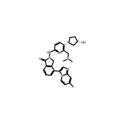 CN(C)Cc1nc(NN2Cc3c(cccc3-c3cnc4cc(F)ccn34)C2=O)ccc1[C@@H]1CC[C@H](O)C1